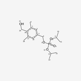 Cc1cc(COP(=O)(OC(C)C)OC(C)C)cc(C)c1CO